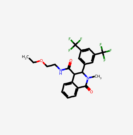 CCOCCNC(=O)C1c2ccccc2C(=O)N(C)C1c1cc(C(F)(F)F)cc(C(F)(F)F)c1